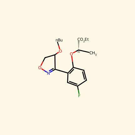 CCCCOC1CON=C1c1cc(F)ccc1O[C@@H](C)C(=O)OCC